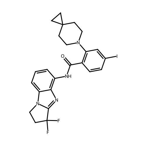 O=C(Nc1cccc2c1nc1n2CCC1(F)F)c1ccc(I)cc1N1CCC2(CC1)CC2